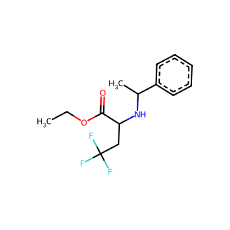 CCOC(=O)C(CC(F)(F)F)NC(C)c1ccccc1